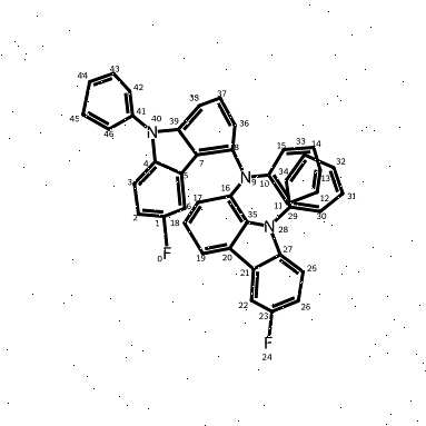 Fc1ccc2c(c1)c1c(N(c3ccccc3)c3cccc4c5cc(F)ccc5n(-c5ccccc5)c34)cccc1n2-c1ccccc1